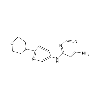 Nc1cc(Nc2ccc(N3CCOCC3)nc2)ncn1